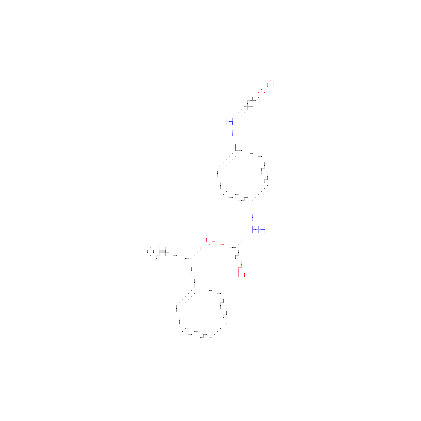 O=C=Nc1ccc(NC(=O)OC(c2ccccc2)[N+](=O)[O-])cc1